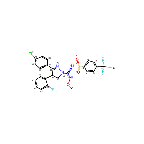 CON/C(=N\S(=O)(=O)c1ccc(C(F)(F)F)cc1)N1CC(c2ccccc2F)C(c2ccc(Cl)cc2)=N1